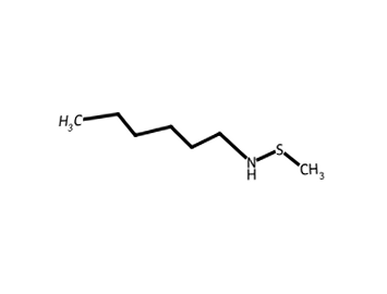 CCCCCCNSC